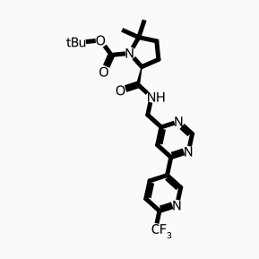 CC(C)(C)OC(=O)N1[C@H](C(=O)NCc2cc(-c3ccc(C(F)(F)F)nc3)ncn2)CCC1(C)C